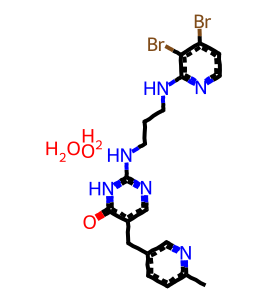 Cc1ccc(Cc2cnc(NCCCNc3nccc(Br)c3Br)[nH]c2=O)cn1.O.O